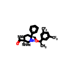 CNC(=O)[C@@]1(NC(C)=O)CC[C@@](CO[C@H](C)c2cc(C(F)(F)F)cc(C(F)(F)F)c2)(c2ccccc2)NC1